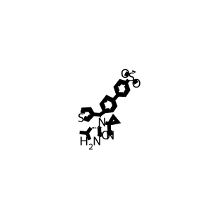 CC(C)C[C@@H](C(N)=O)N([C@@H](c1ccc(-c2ccc(S(C)(=O)=O)cc2)cc1)c1ccsc1)C1(C#N)CC1